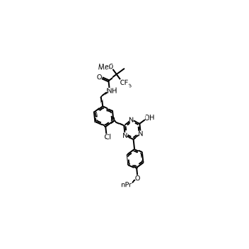 CCCOc1ccc(-c2nc(O)nc(-c3cc(CNC(=O)C(C)(OC)C(F)(F)F)ccc3Cl)n2)cc1